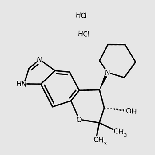 CC1(C)Oc2cc3[nH]cnc3cc2[C@@H](N2CCCCC2)[C@@H]1O.Cl.Cl